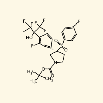 CC(C)(C)OC(=O)N1CC[C@](c2ccc(C(O)(C(F)(F)F)C(F)(F)F)c(F)c2)(S(=O)(=O)c2ccc(F)cc2)C1